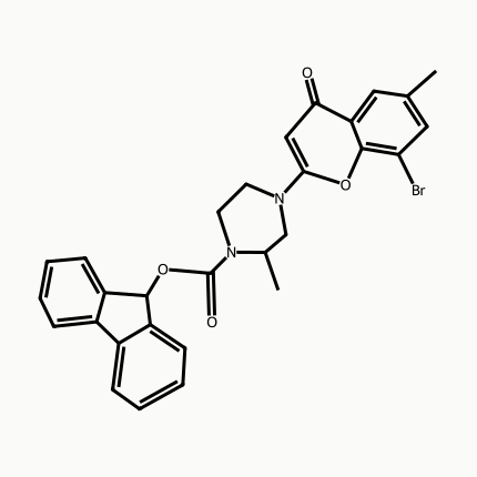 Cc1cc(Br)c2oc(N3CCN(C(=O)OC4c5ccccc5-c5ccccc54)C(C)C3)cc(=O)c2c1